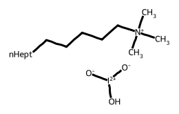 CCCCCCCCCCCC[N+](C)(C)C.[O-][I+2]([O-])O